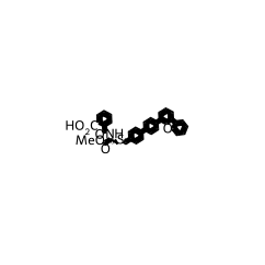 COC(=O)[C@H](CSCc1ccc(-c2ccc(-c3cccc4c3oc3ccccc34)cc2)cc1)NC(=O)c1ccccc1C(=O)O